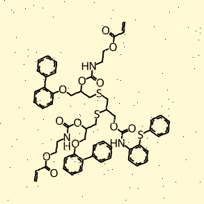 C=CC(=O)OCCNC(=O)OC(COc1ccccc1-c1ccccc1)CSCC(COC(=O)Nc1ccccc1Sc1ccccc1)SCC(COc1ccccc1-c1ccccc1)OC(=O)NCCOC(=O)C=C